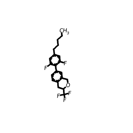 CCCCCc1cc(F)c(-c2ccc3c(c2)COC(C(F)(F)F)C3)c(F)c1